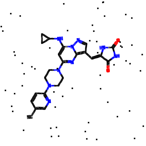 N#Cc1ccc(N2CCN(c3cc(NC4CC4)n4ncc(/C=C5\NC(=O)NC5=O)c4n3)CC2)nc1